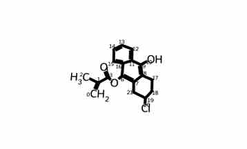 C=C(C)C(=O)Oc1c2c(c(O)c3ccccc13)CCC(Cl)C2